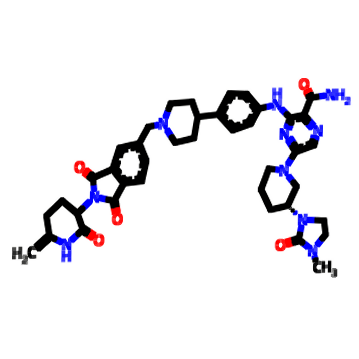 C=C1CCC(N2C(=O)c3ccc(CN4CCC(c5ccc(Nc6nc(N7CCC[C@@H](N8CCN(C)C8=O)C7)cnc6C(N)=O)cc5)CC4)cc3C2=O)C(=O)N1